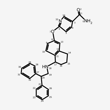 NC(=O)c1ccc(Oc2ccc3c(c2)CCCC3NCC(c2ccccc2)c2ccccc2)nc1